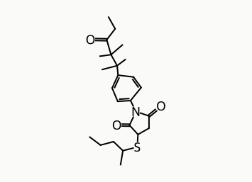 CCCC(C)SC1CC(=O)N(c2ccc(C(C)(C)C(C)(C)C(=O)CC)cc2)C1=O